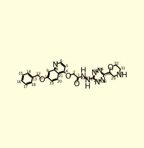 O=C(COc1ccnc2cc(OCc3ccccc3)ccc12)NNc1nnc(C2CNCCO2)nn1